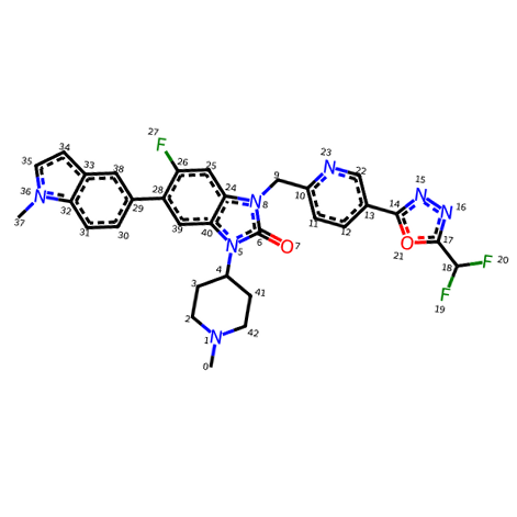 CN1CCC(n2c(=O)n(Cc3ccc(-c4nnc(C(F)F)o4)cn3)c3cc(F)c(-c4ccc5c(ccn5C)c4)cc32)CC1